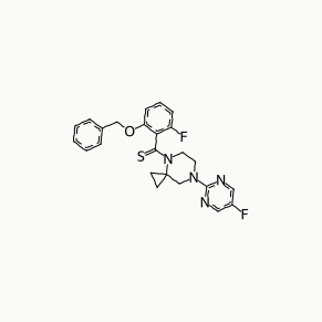 Fc1cnc(N2CCN(C(=S)c3c(F)cccc3OCc3ccccc3)C3(CC3)C2)nc1